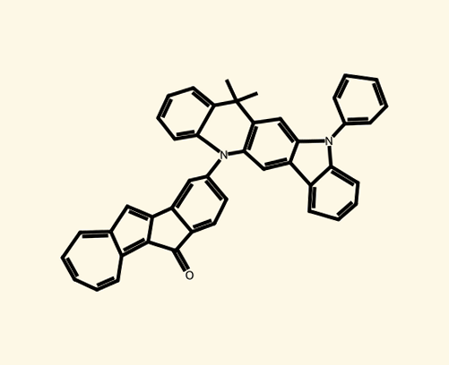 CC1(C)c2ccccc2N(c2ccc3c(c2)-c2cc4cccccc-4c2C3=O)c2cc3c4ccccc4n(-c4ccccc4)c3cc21